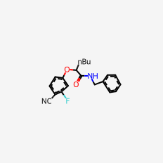 CCCCC(Oc1ccc(C#N)c(F)c1)C(=O)NCc1ccccc1